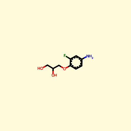 Nc1ccc(OCC(O)CO)c(F)c1